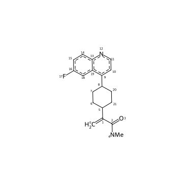 C=C(C(=O)NC)C1CCC(c2ccnc3ccc(F)cc23)CC1